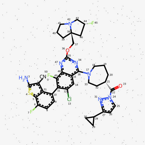 N#Cc1c(N)sc2c(F)ccc(-c3c(Cl)cc4c(N5CCC[C@H](C(=O)n6ccc(C7CC7)n6)CC5)nc(OC[C@@]56CCCN5C[C@H](F)C6)nc4c3F)c12